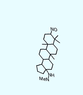 CNNC12CCCC1C1CCC3C(C)(CCC4C(C)(C)C(N=O)CCC43C)C1CC2